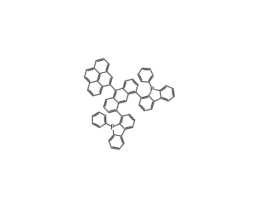 c1ccc(-p2c3ccccc3c3cccc(-c4cccc5c(-c6cc7cccc8ccc9cccc6c9c87)c6cccc(-c7cccc8c9ccccc9p(-c9ccccc9)c78)c6cc45)c32)cc1